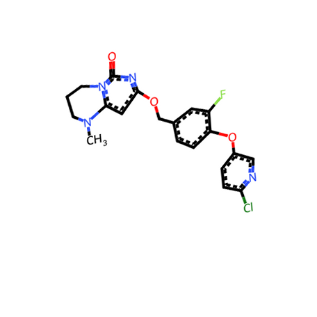 CN1CCCn2c1cc(OCc1ccc(Oc3ccc(Cl)nc3)c(F)c1)nc2=O